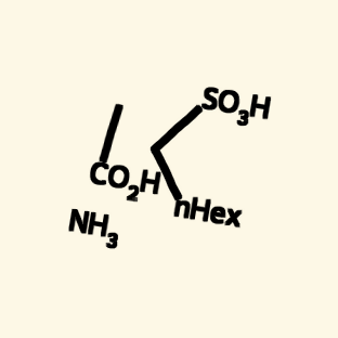 CC(=O)O.CCCCCCCS(=O)(=O)O.N